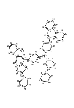 c1ccc(-c2cccc(N(c3ccc(-c4cc5ccccc5c5ccccc45)cc3)c3ccc(-c4c5oc(-c6ccccc6)nc5cc5c4oc4ccccc45)cc3)c2)cc1